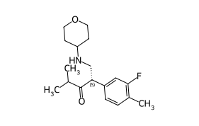 Cc1ccc([C@@H](CNC2CCOCC2)C(=O)C(C)C)cc1F